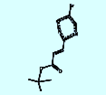 CC(C)(C)OC(=O)/C=C/c1ncc(Br)cn1